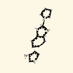 [Fe+2].c1cc[cH-]c1.c1ccc2sc(-[c-]3cccc3)nc2c1